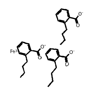 CCCCc1ccccc1C(=O)[O-].CCCCc1ccccc1C(=O)[O-].CCCCc1ccccc1C(=O)[O-].[Fe+3]